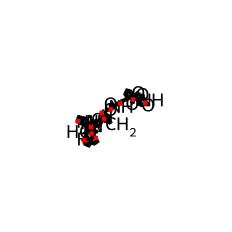 C#Cc1c(F)ccc2cccc(-c3ncc4c(N5CC6CCC(C5)N6)nc(OC[C@@]56CC[C@@H](COC(=O)NCCCCc7cccc8c7C(=O)N(C7CCC(=O)NC7=O)C8=O)N5CC(=C)C6)nc4c3F)c12